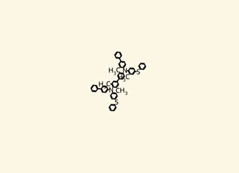 Cc1cc(Sc2ccccc2)ccc1N(c1ccc(-c2ccccc2)cc1)c1ccc(-c2ccc(N(c3ccc(-c4ccccc4)cc3)c3ccc(Sc4ccccc4)cc3C)c(C)c2)cc1C